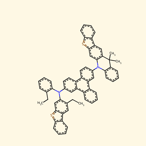 CCc1ccccc1N(c1ccc2c3ccc(N4c5ccccc5C(C)(C)c5cc6c(cc54)sc4ccccc46)cc3c3ccccc3c2c1)c1cc2sc3ccccc3c2cc1CC